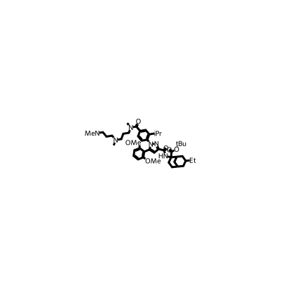 CCC1CC2CCC(NC(=O)c3cc(-c4c(OC)cccc4OC)n(-c4ccc(C(=O)N(C)CCCN(C)CCCNC)cc4C(C)C)n3)(C(=O)OC(C)(C)C)C(C1)C2